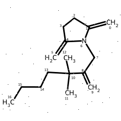 C=C1CCC(=C)N1CC(=C)C(C)(C)CCCC